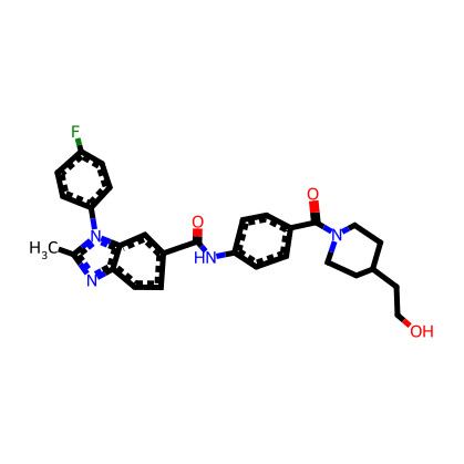 Cc1nc2ccc(C(=O)Nc3ccc(C(=O)N4CCC(CCO)CC4)cc3)cc2n1-c1ccc(F)cc1